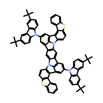 CC(C)(C)c1ccc2c(c1)c1cc(C(C)(C)C)ccc1n2-c1cc2c3cc4c(cc3n3c5ccc6sc7ccccc7c6c5c(c1)c23)c1cc(-n2c3ccc(C(C)(C)C)cc3c3cc(C(C)(C)C)ccc32)cc2c3c5c(ccc3n4c12)sc1ccccc15